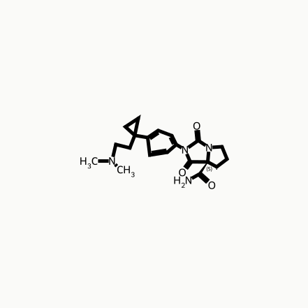 CN(C)CCC1(c2ccc(N3C(=O)N4CC[CH][C@]4(C(N)=O)C3=O)cc2)CC1